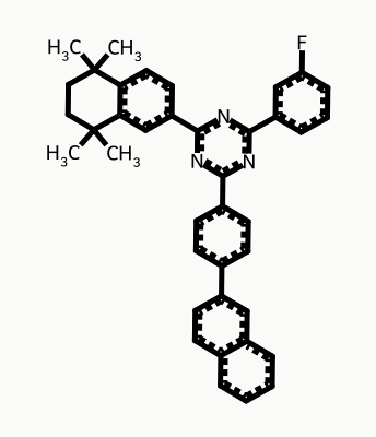 CC1(C)CCC(C)(C)c2cc(-c3nc(-c4ccc(-c5ccc6ccccc6c5)cc4)nc(-c4cccc(F)c4)n3)ccc21